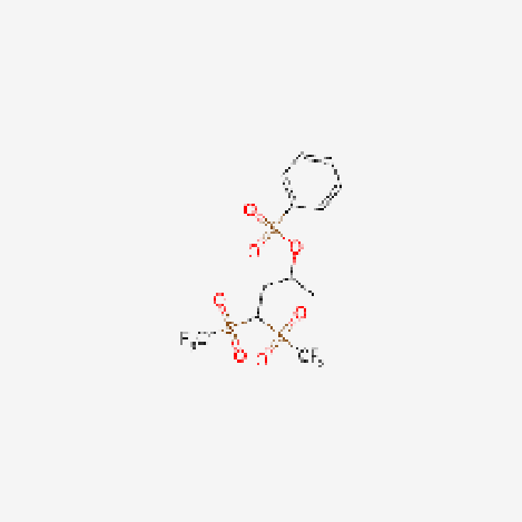 CC(CC(S(=O)(=O)C(F)(F)F)S(=O)(=O)C(F)(F)F)OS(=O)(=O)c1ccccc1